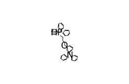 c1ccc(N(c2ccccc2)c2cccc(OCCCC[PH](c3ccccc3)(c3ccccc3)c3ccccc3)c2)cc1